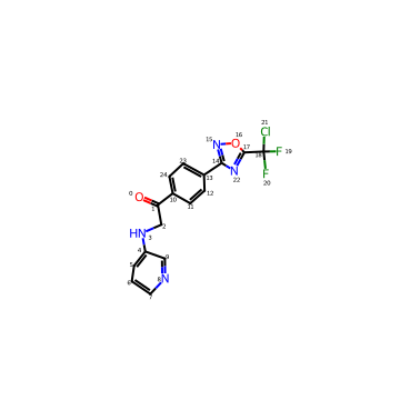 O=C(CNc1cccnc1)c1ccc(-c2noc(C(F)(F)Cl)n2)cc1